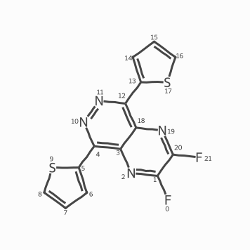 Fc1nc2c(-c3cccs3)nnc(-c3cccs3)c2nc1F